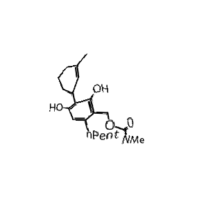 CCCCCc1cc(O)c(C2C=C(C)CCC2)c(O)c1COC(=O)NC